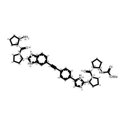 COC(=O)N[C@@H]1CCC[C@H]1C(=O)N1CCC[C@H]1c1ncc(-c2ccc(C#Cc3ccc4nc([C@@H]5CCCN5C(=O)[C@@H]5CCC[C@H]5N)[nH]c4c3)cc2)[nH]1